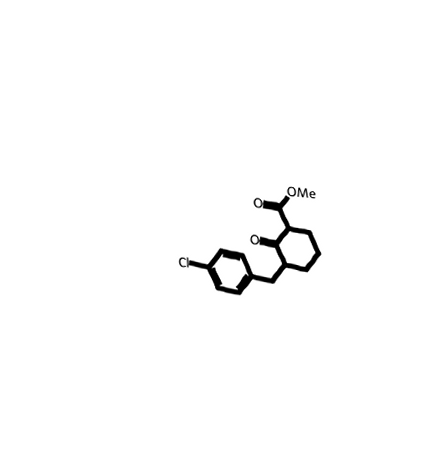 COC(=O)C1CCCC(Cc2ccc(Cl)cc2)C1=O